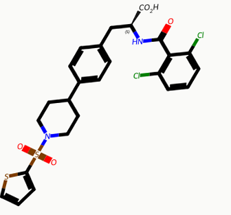 O=C(N[C@@H](Cc1ccc(C2CCN(S(=O)(=O)c3cccs3)CC2)cc1)C(=O)O)c1c(Cl)cccc1Cl